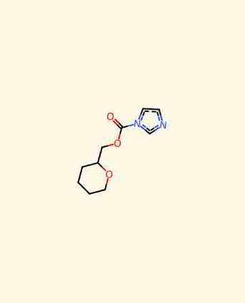 O=C(OCC1CCCCO1)n1ccnc1